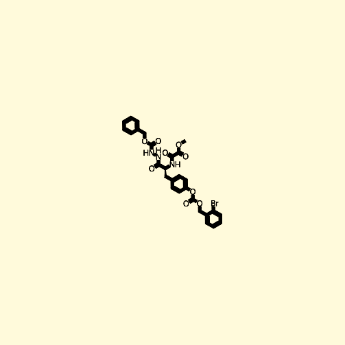 COC(=O)C(=O)N[C@@H](Cc1ccc(OC(=O)OCc2ccccc2Br)cc1)C(=O)NNC(=O)OCc1ccccc1